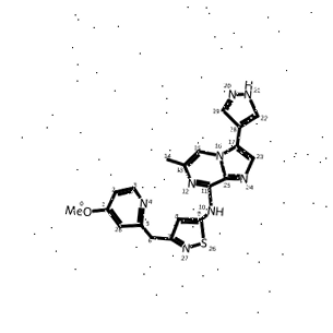 COc1ccnc(Cc2cc(Nc3nc(C)cn4c(-c5cn[nH]c5)cnc34)sn2)c1